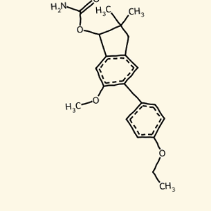 CCOc1ccc(-c2cc3c(cc2OC)C(OC(N)=O)C(C)(C)C3)cc1